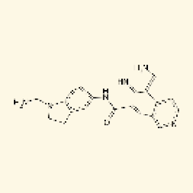 N=C/C(=C\N)c1ccncc1/C=C/C(=O)Nc1ccc2c(c1)CCN2CN